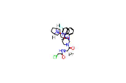 Cc1nc2ccccc2n1[C@H]1C[C@H]2CC[C@@H](C1)N2CCC1(c2cccc(F)c2)CCN(C(=O)[C@@H](NC(=O)CCl)C(C)C)CC1